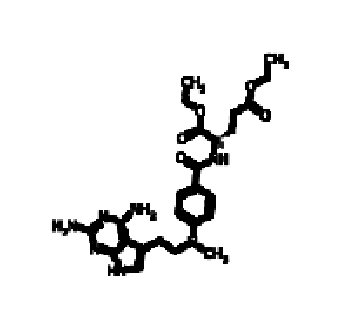 CCOC(=O)CC[C@H](NC(=O)c1ccc(N(C)CCc2c[nH]c3nc(N)nc(N)c23)cc1)C(=O)OCC